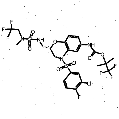 CN(CC(F)(F)F)S(=O)(=O)NC[C@H]1CN(S(=O)(=O)c2ccc(F)c(Cl)c2)c2cc(NC(=O)OC(C)(C)C(F)(F)F)ccc2O1